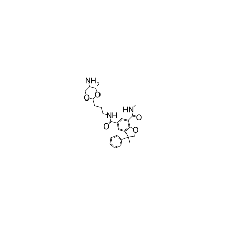 CNC(=O)c1cc(C(=O)NCCCC2OCC(N)CO2)cc2c1OCC2(C)c1ccccc1